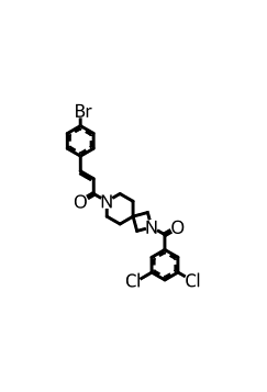 O=C(/C=C/c1ccc(Br)cc1)N1CCC2(CC1)CN(C(=O)c1cc(Cl)cc(Cl)c1)C2